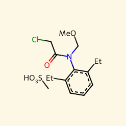 CCc1cccc(CC)c1N(COC)C(=O)CCl.CS(=O)(=O)O